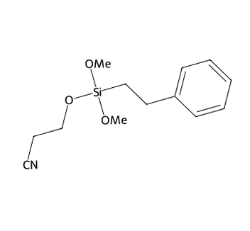 CO[Si](CCc1ccccc1)(OC)OCCC#N